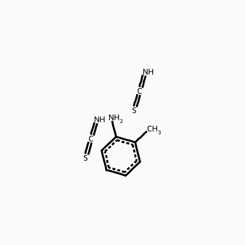 Cc1ccccc1N.N=C=S.N=C=S